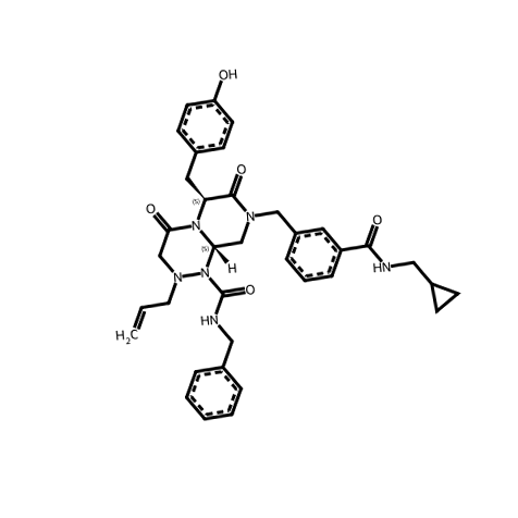 C=CCN1CC(=O)N2[C@@H](Cc3ccc(O)cc3)C(=O)N(Cc3cccc(C(=O)NCC4CC4)c3)C[C@@H]2N1C(=O)NCc1ccccc1